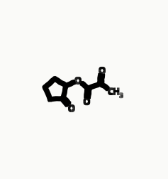 CC(=O)C(=O)OC1CCCC1=O